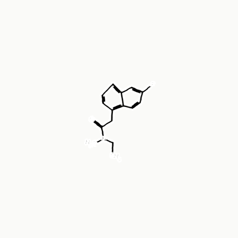 CCN(C)C(=O)Cc1cccc2cc(F)ccc12